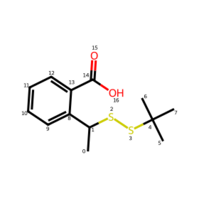 CC(SSC(C)(C)C)c1ccccc1C(=O)O